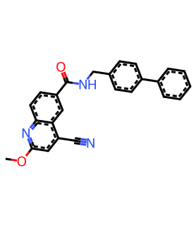 COc1cc(C#N)c2cc(C(=O)NCc3ccc(-c4ccccc4)cc3)ccc2n1